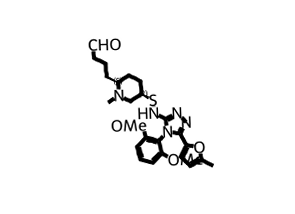 COc1cccc(OC)c1-n1c(NS[C@@H]2CC[C@H](CCCC=O)N(C)C2)nnc1-c1ccc(C)o1